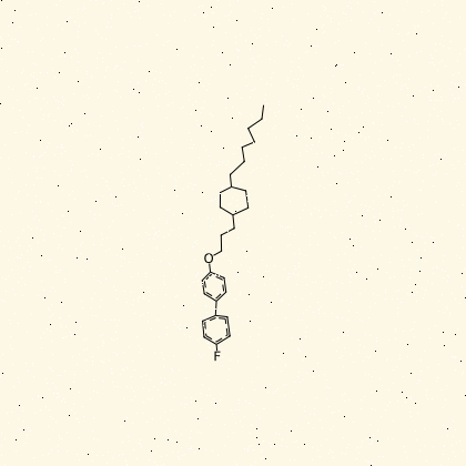 CCCCCCCC1CCC(CCCOc2ccc(-c3ccc(F)cc3)cc2)CC1